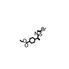 C=C(c1ncc(Br)s1)C1CCC(C(=O)OCC)CC1